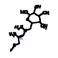 N/C(=C\N(N)CC1OC(O)C(O)C(O)C1O)CSF